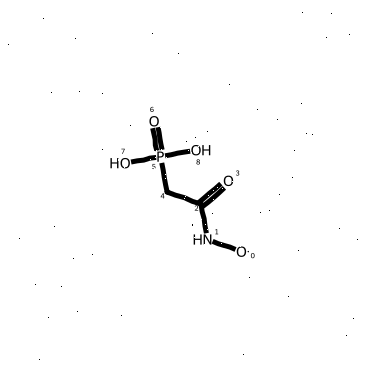 [O]NC(=O)CP(=O)(O)O